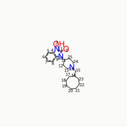 O=c1n(O)c2ccccc2n1C1CCN(CC2CCCCCCC2)CC1